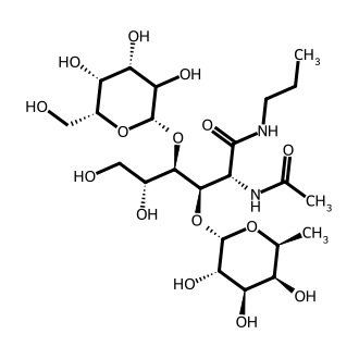 CCCNC(=O)[C@H](NC(C)=O)[C@@H](O[C@@H]1O[C@@H](C)[C@@H](O)[C@@H](O)[C@@H]1O)[C@H](O[C@@H]1O[C@H](CO)[C@H](O)[C@H](O)C1O)[C@H](O)CO